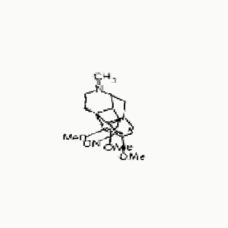 COC1=C(OC)[C@@]23CCN(C)C(Cc4ccc(OC)c(N=O)c42)C3CC1